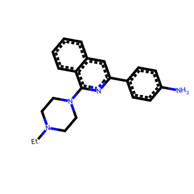 CCN1CCN(c2nc(-c3ccc(N)cc3)cc3ccccc23)CC1